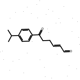 CC(C)c1ccc(C(=O)CCC=CC=O)cc1